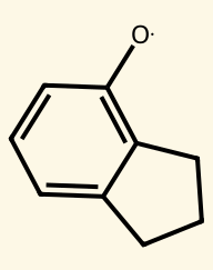 [O]c1cccc2c1CCC2